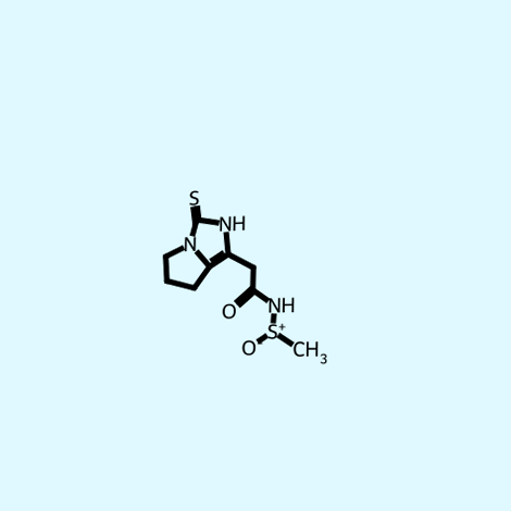 C[S+]([O-])NC(=O)Cc1[nH]c(=S)n2c1CCC2